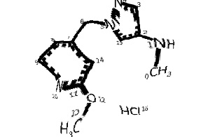 CNc1cnn(Cc2ccnc(OC)c2)c1.Cl